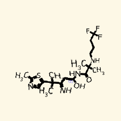 Cc1ncc(C(C)(C)C(=N)/C=C(\O)NC(=O)C(C)(C)NCCCC(F)(F)F)s1